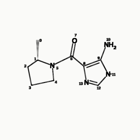 C[C@H]1CCCN1C(=O)C1=C(N)[N]C=N1